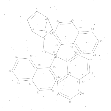 C1=CC2CC1CC2C[Si](c1cccc2ccccc12)(c1cccc2ccccc12)c1cccc2ccccc12